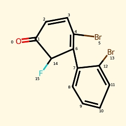 O=C1C=CC(Br)=C(c2ccccc2Br)C1F